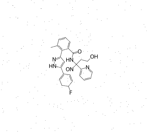 Cc1cccc(C(=O)NC(CCO)(N=O)c2ccccn2)c1-c1cc(C2=CCC(F)C=C2)[nH]n1